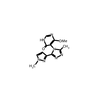 COc1nc[nH]c(=O)c1-n1c(C)nnc1-c1ccn(C)n1